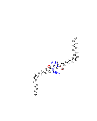 CCCCCCCC/C=C\CCCCCCCC(=O)N(N)CCN(N)C(=O)CCCCCCC/C=C\CCCCCCCC